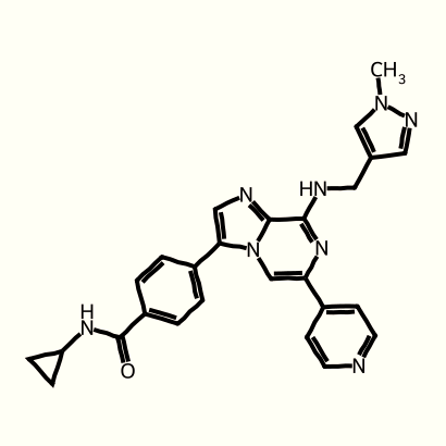 Cn1cc(CNc2nc(-c3ccncc3)cn3c(-c4ccc(C(=O)NC5CC5)cc4)cnc23)cn1